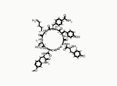 COc1ccc(CC(NC(=O)[C@@H]2CSSC[C@@H](NC(=O)[C@@H](N)Cc3ccc(Cl)cc3)C(=O)N/C(=C\c3ccc(O)cc3)C(=O)N[C@H](Cc3ccc(C(N)=O)cc3)C(=O)N[C@@H](CCCCN)C(=O)N[C@@H]([C@@H](C)O)C(=O)N2)C(N)=O)cc1